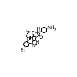 CCc1ccc(OCC2CC2)c(-c2ncnc3c(C(=O)N[C@H]4CC[C@H](N)CC4)c(C)[nH]c23)c1